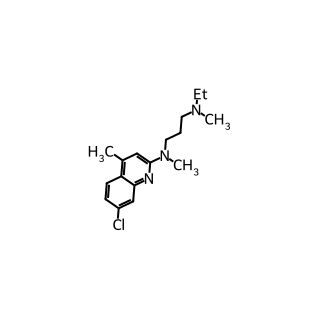 CCN(C)CCCN(C)c1cc(C)c2ccc(Cl)cc2n1